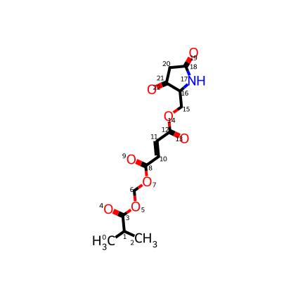 CC(C)C(=O)OCOC(=O)/C=C/C(=O)OCC1NC(=O)CC1=O